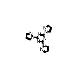 c1cnn(-c2nc(-n3cccn3)nc(-n3cccn3)n2)c1